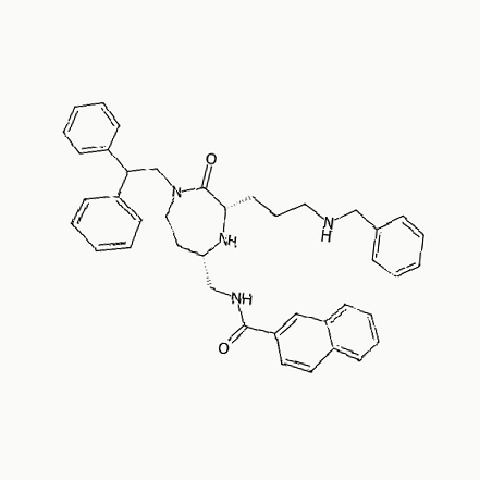 O=C(NC[C@@H]1CCN(CC(c2ccccc2)c2ccccc2)C(=O)[C@H](CCCNCc2ccccc2)N1)c1ccc2ccccc2c1